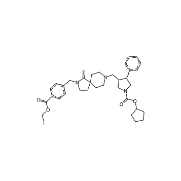 C=C1N(Cc2ccc(C(=O)OCI)cc2)CCC12CCN(CC1CN(C(=O)OC3CCCC3)CC1c1ccccc1)CC2